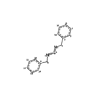 c1ccc(CN=S=NCc2ccccc2)cc1